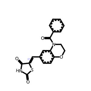 O=C1NC(=O)/C(=C/c2ccc3c(c2)N(C(=O)c2ccccc2)CCO3)S1